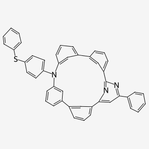 c1ccc(Sc2ccc(N3c4cccc(c4)-c4cccc(c4)-c4cc(-c5ccccc5)nc(n4)-c4cccc(c4)-c4cccc3c4)cc2)cc1